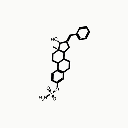 C[C@]12CCC3c4ccc(OS(N)(=O)=O)cc4CCC3C1C/C(=C\c1ccccc1)[C@@H]2O